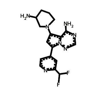 Nc1ncnn2c(-c3ccnc(C(F)F)c3)cc(N3CCCC(N)C3)c12